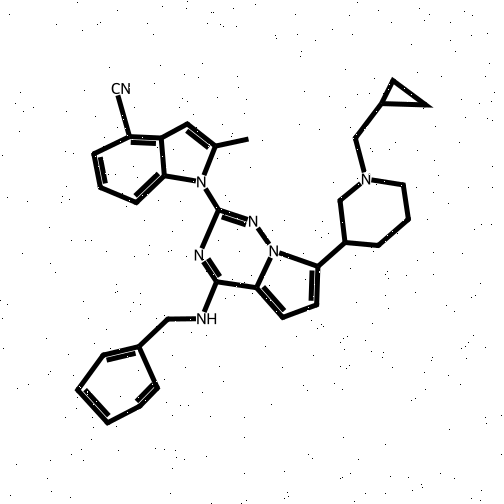 Cc1cc2c(C#N)cccc2n1-c1nc(NCc2ccccc2)c2ccc(C3CCCN(CC4CC4)C3)n2n1